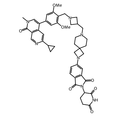 COc1cc(-c2cn(C)c(=O)c3cnc(C4CC4)cc23)cc(OC)c1CN1CC(CN2CCC3(CC2)CN(c2ccc4c(c2)C(=O)N(C2CCC(=O)NC2=O)C4=O)C3)C1